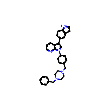 c1ccc(CN2CCN(Cc3ccc(-n4cc(-c5ccc6[nH]ccc6c5)c5cccnc54)cc3)CC2)cc1